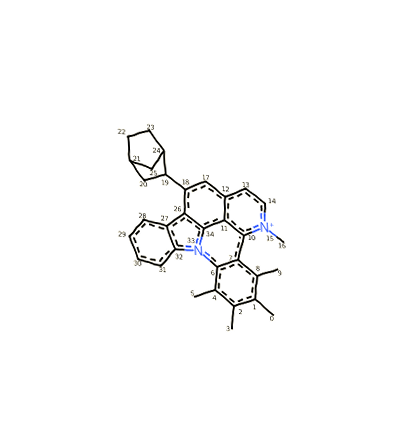 Cc1c(C)c(C)c2c(c1C)c1c3c(cc[n+]1C)cc(C1CC4CCC1C4)c1c4ccccc4n2c13